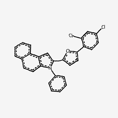 Clc1ccc(-c2ccc(-c3cc4c5ccccc5ccc4n3-c3ccccc3)o2)c(Cl)c1